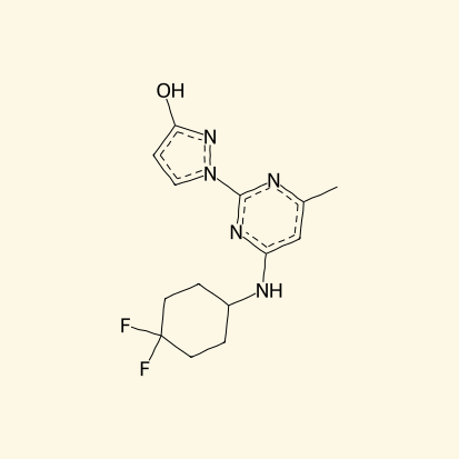 Cc1cc(NC2CCC(F)(F)CC2)nc(-n2ccc(O)n2)n1